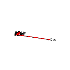 CCCCCCCCCCCCCCCCCCCCCCCCCCCCCCCCCCCCCCCCCCCCCCCCCCCCCCCCCCCCCCCCCCCCCCCCCCCCCCCCCCCCCCCCCCCCCC(C1CCCCC1)[C@H](C(=O)[C@H](C(C)C)N(C(=O)OC)c1ccccn1)[C@@H](O)C(F)(F)[C@H](C(=O)[C@H](C(C)C)N(C(=O)OC)c1ccccn1)C(C)CN